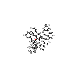 c1ccc(-c2cccc(-c3cccc(N(c4ccc5c(c4)-c4ccccc4C54c5ccccc5-c5ccccc54)c4cc5ccccc5c5ccccc45)c3-c3ccc4oc5cc6ccccc6cc5c4c3)c2)cc1